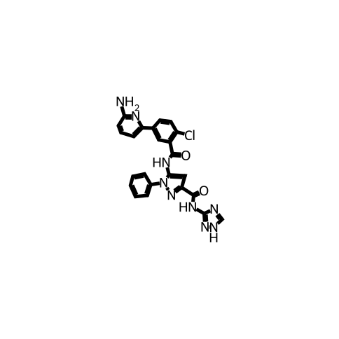 Nc1cccc(-c2ccc(Cl)c(C(=O)Nc3cc(C(=O)Nc4nc[nH]n4)nn3-c3ccccc3)c2)n1